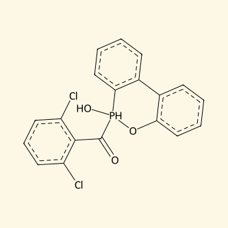 O=C(c1c(Cl)cccc1Cl)[PH]1(O)Oc2ccccc2-c2ccccc21